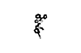 CCn1c(C(C)[C@@H]2CCCN2C(=O)C(c2ccccc2)C2CCCC2)cc2ccc(C#N)cc21